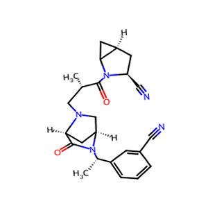 C[C@@H](CN1C[C@@H]2C[C@H]1C(=O)N2[C@@H](C)c1cccc(C#N)c1)C(=O)N1C2C[C@H]2C[C@H]1C#N